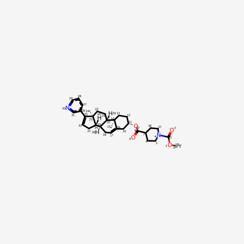 CC(C)OC(=O)N1CCC(C(=O)O[C@H]2CC[C@@]3(C)C(=CC[C@@H]4[C@@H]3CC[C@]3(C)C(c5cccnc5)=CC[C@@H]43)C2)CC1